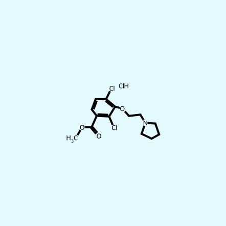 COC(=O)c1ccc(Cl)c(OCCN2CCCC2)c1Cl.Cl